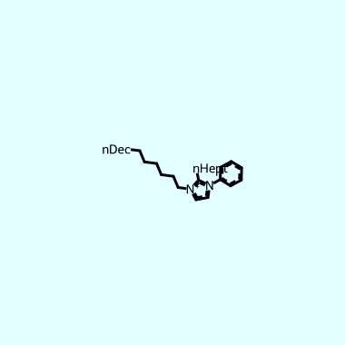 CCCCCCCCCCCCCCCC[n+]1ccn(-c2ccccc2)c1CCCCCCC